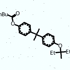 CCCCC(=O)Oc1ccc(C(C)(C)c2ccc(OC(C)(CC)CC)cc2)cc1